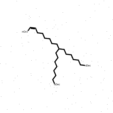 CCCCCCCC/C=C\CCCCCCC(CCCCCCCCCCCCCCCC)CCCCCCCCCCCCCCCCC